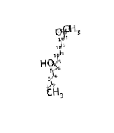 CCCCCCCC(O)CCCCCCCC(C)=O